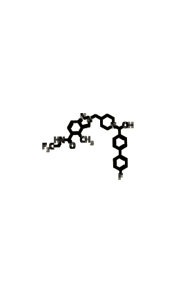 Cc1c(C(=O)NCC(F)(F)F)ccc2nn(CC3CCN(C(O)c4ccc(-c5ccc(F)cc5)cc4)CC3)cc12